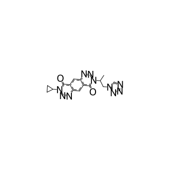 CC(Cn1cnnn1)n1nnc2cc3c(=O)n(C4CC4)nnc3cc2c1=O